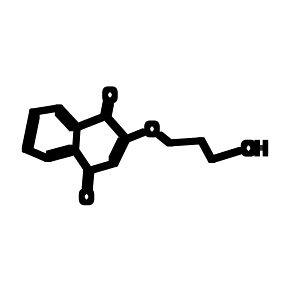 O=C1C=C(OCCCO)C(=O)c2ccccc21